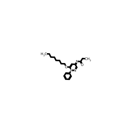 CCCCCCCCOc1cc(=NC(=O)CC)cnn1-c1ccccc1